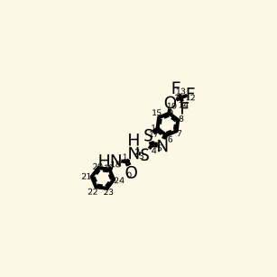 O=C(NSc1nc2ccc(OC(F)(F)F)cc2s1)Nc1ccccc1